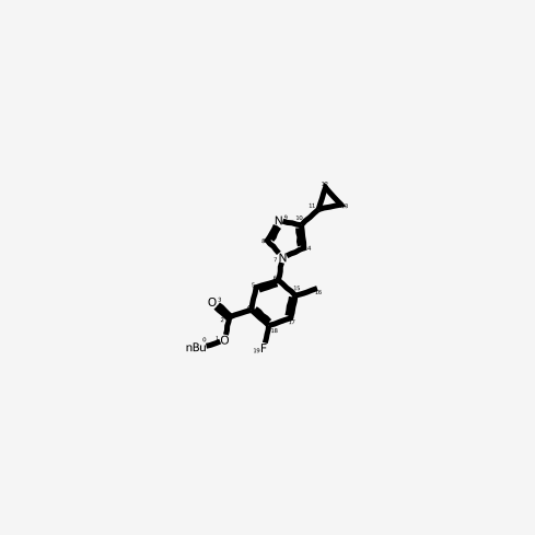 CCCCOC(=O)c1cc(-n2cnc(C3CC3)c2)c(C)cc1F